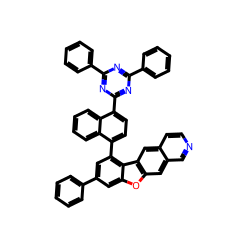 c1ccc(-c2cc(-c3ccc(-c4nc(-c5ccccc5)nc(-c5ccccc5)n4)c4ccccc34)c3c(c2)oc2cc4cnccc4cc23)cc1